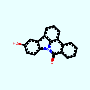 O=c1c2ccccc2c2cccc3c4cc(O)ccc4n1c23